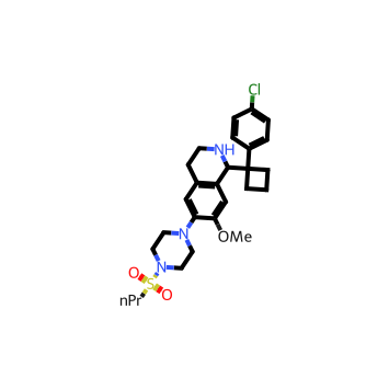 CCCS(=O)(=O)N1CCN(c2cc3c(cc2OC)C(C2(c4ccc(Cl)cc4)CCC2)NCC3)CC1